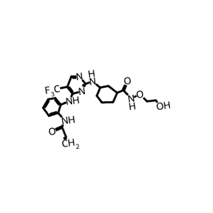 C=CC(=O)Nc1ccccc1Nc1nc(NC2CCCC(C(=O)NOCCO)C2)ncc1C(F)(F)F